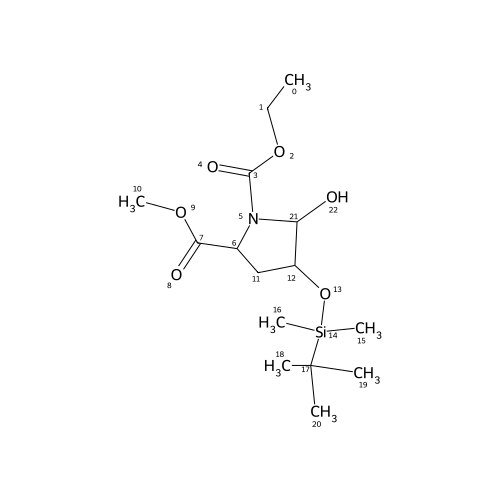 CCOC(=O)N1C(C(=O)OC)CC(O[Si](C)(C)C(C)(C)C)C1O